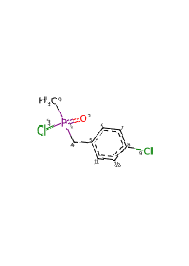 CP(=O)(Cl)Cc1ccc(Cl)cc1